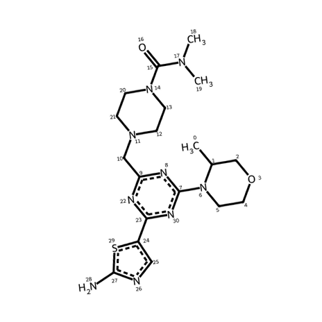 CC1COCCN1c1nc(CN2CCN(C(=O)N(C)C)CC2)nc(-c2cnc(N)s2)n1